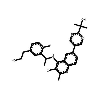 Cc1nc2ccc(-c3cnc(C(C)(C)O)nc3)cc2c(NC(C)c2cc(CCO)ccc2F)c1Cl